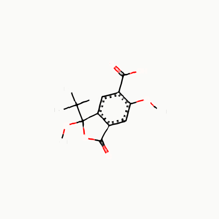 COc1cc2c(cc1C(=O)O)C(OC)(C(C)(C)C)OC2=O